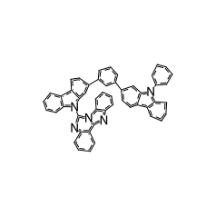 c1ccc(-n2c3ccccc3c3ccc(-c4cccc(-c5ccc6c7ccccc7n(-c7nc8ccccc8c8nc9ccccc9n78)c6c5)c4)cc32)cc1